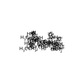 CC(C)C[C@H](NC(=O)C[C@H](O)[C@H](CC(C)C)NC(=O)[C@H](Cc1c[nH]cn1)NC(=O)CNC(=O)[C@@H](NC(=O)[C@H](C)NC(=O)[C@H](Cc1c[nH]c2ccccc12)NC(=O)[C@H](CCC(N)=O)NC(=O)[C@@H](Cc1ccccc1)NC(=O)[C@@H]1CCCCN1)C(C)C)C(N)=O